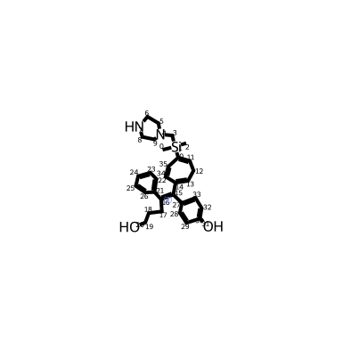 C[Si](C)(CN1CCNCC1)C1=CCC=C(/C(=C(/CCCO)c2ccccc2)c2ccc(O)cc2)C=C1